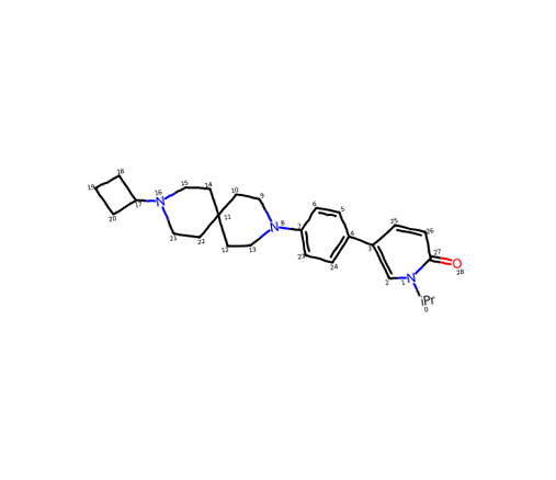 CC(C)n1cc(-c2ccc(N3CCC4(CC3)CCN(C3CCC3)CC4)cc2)ccc1=O